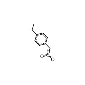 C[CH]c1ccc(C[SH](=O)=O)cc1